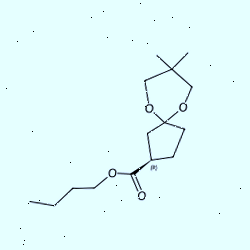 CCCCOC(=O)[C@@H]1CCC2(C1)OCC(C)(C)CO2